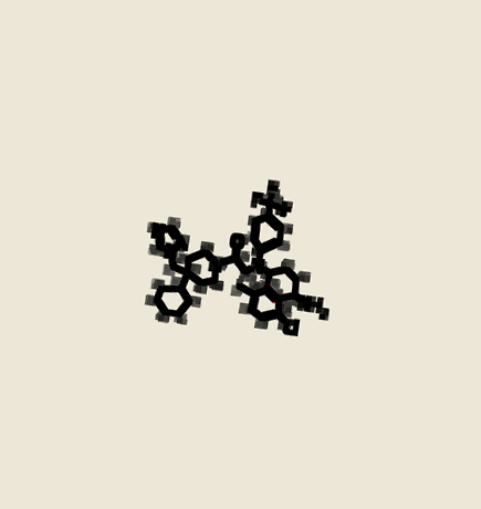 NC1CCC(N(c2ccc(C(F)(F)F)cc2)[C@H](Cc2ccc(Cl)cc2)C(=O)N2CCC(Cn3cncn3)(C3CCCCC3)CC2)CC1